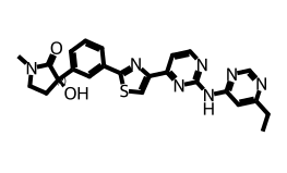 CCc1cc(Nc2nccc(-c3csc(-c4cccc([C@]5(O)CCN(C)C5=O)c4)n3)n2)ncn1